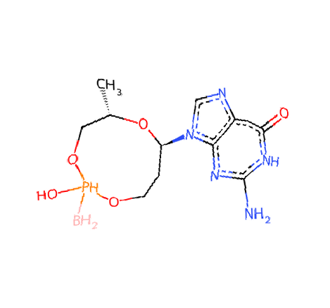 B[PH]1(O)OCC[C@H](n2cnc3c(=O)[nH]c(N)nc32)O[C@@H](C)CO1